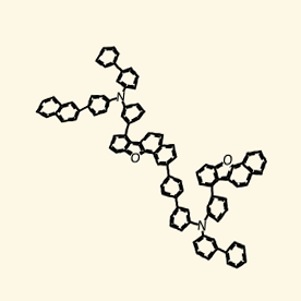 c1ccc(-c2cccc(N(c3ccc(-c4ccc5ccccc5c4)cc3)c3cccc(-c4cccc5oc6c7cc(-c8ccc(-c9cccc(N(c%10cccc(-c%11ccccc%11)c%10)c%10cccc(-c%11cccc%12oc%13c%14ccccc%14ccc%13c%11%12)c%10)c9)cc8)ccc7ccc6c45)c3)c2)cc1